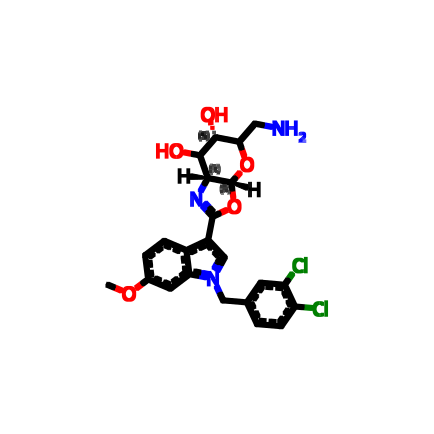 COc1ccc2c(C3=N[C@@H]4C(O)[C@H](O)C(CN)O[C@@H]4O3)cn(Cc3ccc(Cl)c(Cl)c3)c2c1